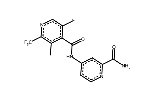 Cc1c(C(F)(F)F)ncc(F)c1C(=O)Nc1ccnc(C(N)=O)c1